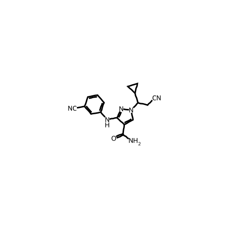 N#CCC(C1CC1)n1cc(C(N)=O)c(Nc2cccc(C#N)c2)n1